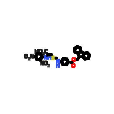 O=C(OCC1c2ccccc2-c2ccccc21)c1ccc(NCSC[C@H](Nc2ccc([N+](=O)[O-])cc2[N+](=O)[O-])C(=O)O)cc1